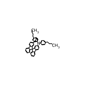 CCCCc1ccc(N(c2ccc(CCCC)cc2)c2ccc3c(c2)C2(c4ccccc4-c4ccc(C#N)cc42)c2ccccc2-3)cc1